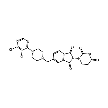 O=C1CCN(N2C(=O)c3ccc(CN4CCN(c5ncnc(Cl)c5Cl)CC4)cc3C2=O)C(=O)N1